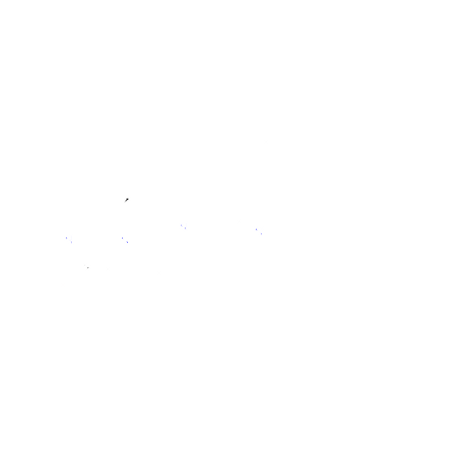 C[C@@H]1CNC(=O)c2cc3ccc(C(=O)Nc4ccc(C5CCOCC5)cc4OC(F)F)nc3n21